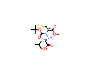 COC(=O)[C@H](CS)N(N[C@@H](CC(C)C)C(=O)O)C(=O)OC(C)(C)C